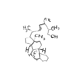 CCC(C=C[C@@H](C)[C@H]1CC[C@H]2C3=CCC4CCCC[C@]4(C)[C@H]3CC[C@]12C)C(C)CO